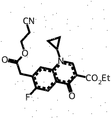 CCOC(=O)c1cn(C2CC2)c2cc(CC(=O)OCCC#N)c(F)cc2c1=O